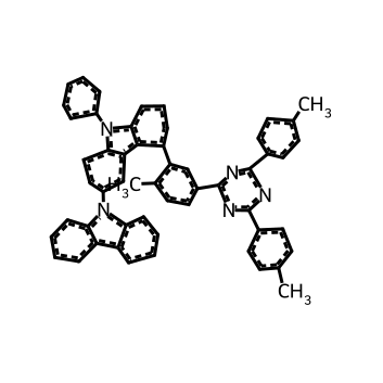 Cc1ccc(-c2nc(-c3ccc(C)cc3)nc(-c3ccc(C)c(-c4cccc5c4c4cc(-n6c7ccccc7c7ccccc76)ccc4n5-c4ccccc4)c3)n2)cc1